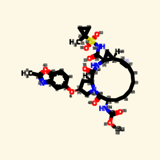 Cc1nc2cc(O[C@@H]3C[C@H]4C(=O)N[C@]5(C(=O)NS(=O)(=O)C6(C)CC6)C[C@H]5/C=C\CCCCC[C@H](NC(=O)OC(C)(C)C)C(=O)N4C3)ccc2o1